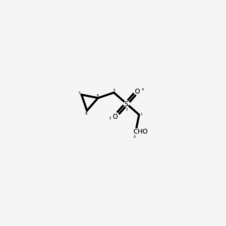 O=CCS(=O)(=O)CC1CC1